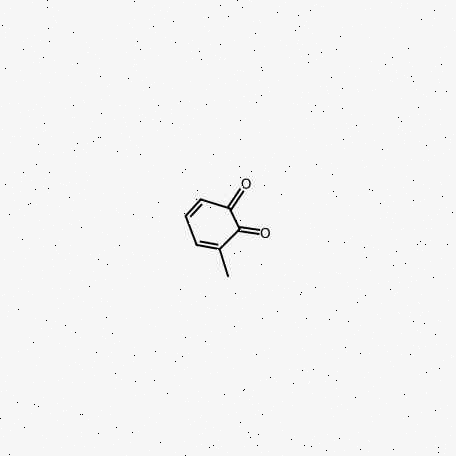 CC1=CC=[C]C(=O)C1=O